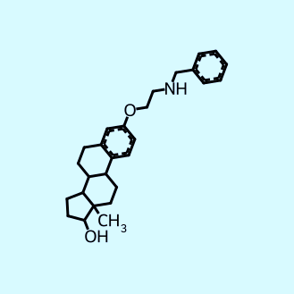 CC12CCC3c4ccc(OCCNCc5ccccc5)cc4CCC3C1CCC2O